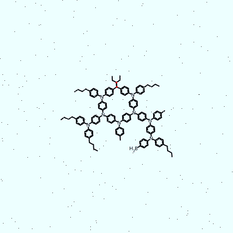 Bc1ccc(N(c2ccc(CCCC)cc2)c2ccc(N(c3ccc(C)cc3)c3ccc(N(c4ccc(N(c5ccc(CCCC)cc5)c5ccc(CCCC)cc5)cc4)c4ccc(N(c5ccc(C)cc5)c5ccc(N(c6ccc(N(c7ccc(CCCC)cc7)c7ccc(CCCC)cc7)cc6)c6ccc(N(c7ccc(CCCC)cc7)c7ccc(CCCC)cc7)cc6)cc5)cc4)cc3)cc2)cc1